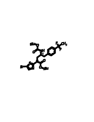 CC(C)(C)OC(=O)N[C@@H](Cc1ccc(C(C)(F)F)cc1)CN(C(=O)OC(C)(C)C)c1ncc(Br)s1